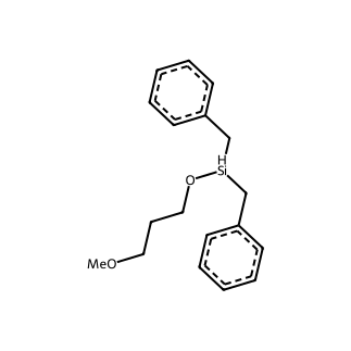 COCCCO[SiH](Cc1ccccc1)Cc1ccccc1